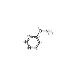 NOc1ccnnn1